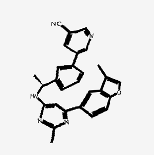 Cc1nc(N[C@@H](C)c2cccc(-c3cncc(C#N)c3)c2)cc(-c2ccc3occ(C)c3c2)n1